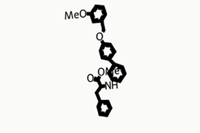 COC(=O)C(Cc1ccccc1)Nc1cccc(-c2ccc(OCc3cccc(OC)c3)cc2)c1